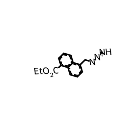 CCOC(=O)c1cccc2c(CN=[N+]=N)cccc12